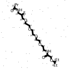 CCC(CC)OCC(=O)NCCOCCOCCOCCOCC(F)CNC(=O)C(C)C